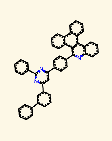 c1ccc(-c2cccc(-c3cc(-c4ccc(-c5nc6ccccc6c6c7ccccc7c7ccccc7c56)cc4)nc(-c4ccccc4)n3)c2)cc1